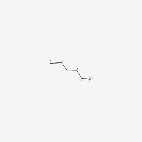 C=CCC[CH2][Zn]